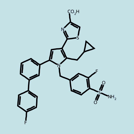 NS(=O)(=O)c1ccc(Cn2c(-c3cccc(-c4ccc(F)cc4)c3)cc(-c3nc(C(=O)O)cs3)c2CC2CC2)cc1F